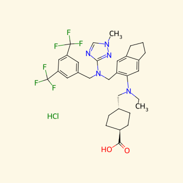 CCN(C[C@H]1CC[C@H](C(=O)O)CC1)c1cc2c(cc1CN(Cc1cc(C(F)(F)F)cc(C(F)(F)F)c1)c1ncn(C)n1)CCC2.Cl